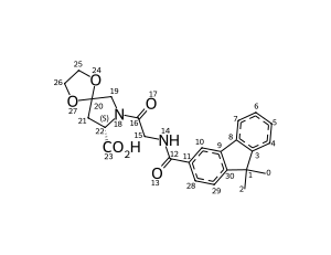 CC1(C)c2ccccc2-c2cc(C(=O)NCC(=O)N3CC4(C[C@H]3C(=O)O)OCCO4)ccc21